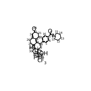 C[C@]12C[C@H](c3ccc(C(=O)N4CCCCC4)cc3)C3=C4CCC(=O)C=C4CC[C@H]3[C@@H]1CC[C@]2(O)C(F)(F)C(F)(F)F